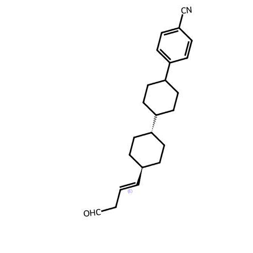 N#Cc1ccc(C2CCC([C@H]3CC[C@H](/C=C/CC=O)CC3)CC2)cc1